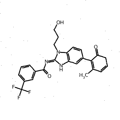 CC1=C(c2ccc3c(c2)[nH]/c(=N\C(=O)c2cccc(C(F)(F)F)c2)n3CCCO)C(=O)CC=C1